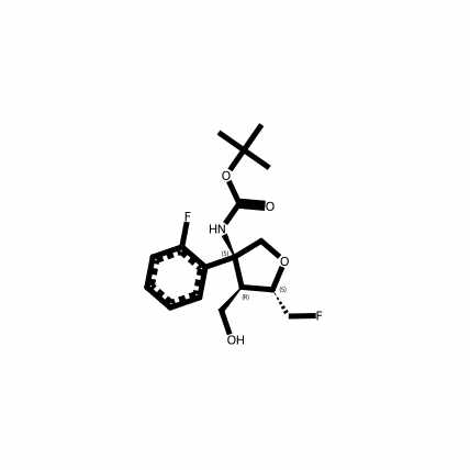 CC(C)(C)OC(=O)N[C@@]1(c2ccccc2F)CO[C@H](CF)[C@H]1CO